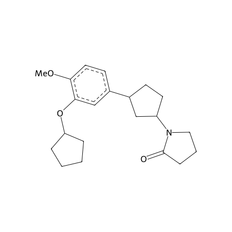 COc1ccc(C2CCC(N3CCCC3=O)C2)cc1OC1CCCC1